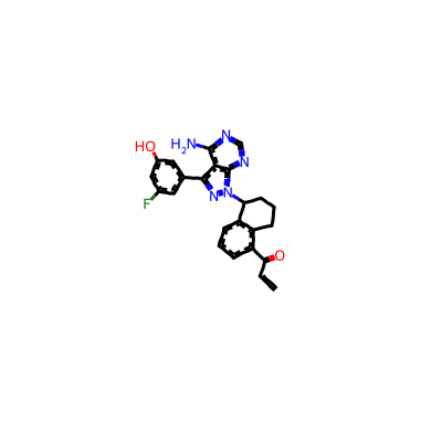 C=CC(=O)c1cccc2c1CCCC2n1nc(-c2cc(O)cc(F)c2)c2c(N)ncnc21